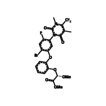 COC(=O)[C@@H](OC)Oc1ccccc1Oc1cc(-n2c(=O)c(C)c(C(F)(F)F)n(C)c2=O)c(F)cc1Br